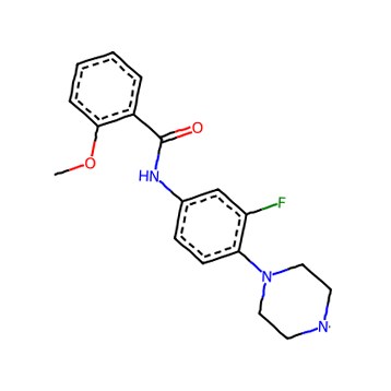 COc1ccccc1C(=O)Nc1ccc(N2CC[N]CC2)c(F)c1